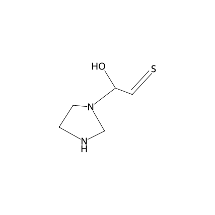 OC(C=S)N1CCNC1